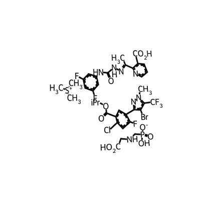 C/C(=N\NC(=O)Nc1cc(F)cc(F)c1)c1ncccc1C(=O)O.CC(C)OC(=O)c1cc(-c2nn(C)c(C(F)(F)F)c2Br)c(F)cc1Cl.C[S+](C)C.O=C(O)CNCP(=O)([O-])O